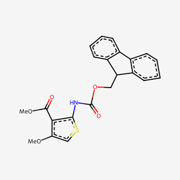 COC(=O)c1c(OC)csc1NC(=O)OCC1c2ccccc2-c2ccccc21